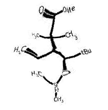 C=CC(C(O[SiH](C)C)C(C)(C)C)C(C)(C)C(=O)OC